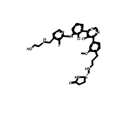 COc1cc(-c2nccc(-c3cccc(Nc4nccc(CNCCO)c4F)c3Cl)c2Cl)ccc1CCCNC[C@@H]1CCC(=O)N1